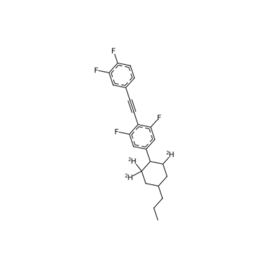 [2H]C1CC(CCC)CC([2H])([2H])C1c1cc(F)c(C#Cc2ccc(F)c(F)c2)c(F)c1